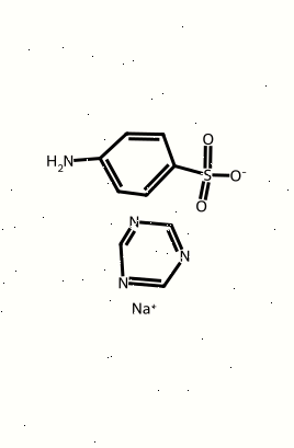 Nc1ccc(S(=O)(=O)[O-])cc1.[Na+].c1ncncn1